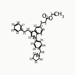 CCOC(=O)CCc1ccc2c(c1)c(CCc1ccccc1)cn2-c1ccc(CN2CCCC2)cc1